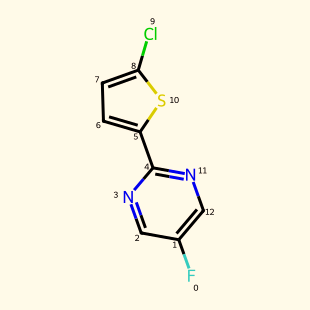 Fc1cnc(-c2ccc(Cl)s2)nc1